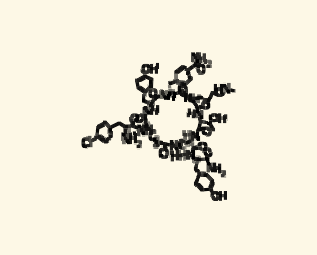 CNCCCC[C@@H]1NC(=O)[C@@H](Cc2ccc(C(N)=O)cc2)NC(=O)[C@H](Cc2ccc(O)cc2)NC(=O)[C@H](NC(=O)[C@@H](N)Cc2ccc(Cl)cc2)CSC(=O)NC[C@@H](C(=O)N[C@H](Cc2ccc(O)cc2)C(N)=O)NC(=O)C(C(C)O)NC1=O